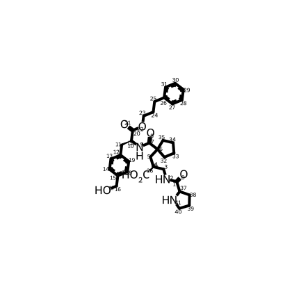 O=C(NC[C@H](CC1(C(=O)N[C@@H](Cc2ccc(CO)cc2)C(=O)OCCCc2ccccc2)CCCC1)C(=O)O)C1CCCN1